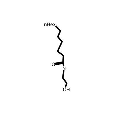 CCCCCCCCCCCC(=O)[N]CCO